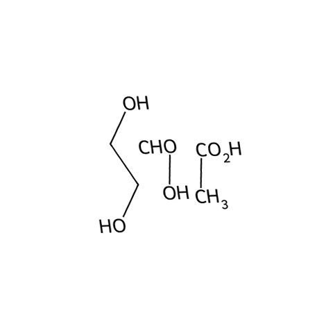 CC(=O)O.O=CO.OCCO